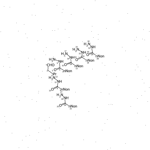 CC(C)CC=O.CCCCCCCCCC(=O)NN.CCCCCCCCCC(=O)NN.CCCCCCCCCC(=O)NN.CCCCCCCCCC(=O)NN.CCCCCCCCCC(=O)NN.CCCCCCCCCC(=O)NN